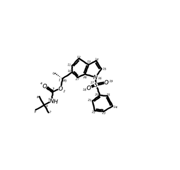 C[C@@H](OC(=O)NC(C)(C)C)c1ccc2ccn(S(=O)(=O)c3ccccc3)c2c1